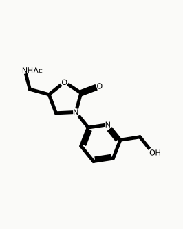 CC(=O)NCC1CN(c2cccc(CO)n2)C(=O)O1